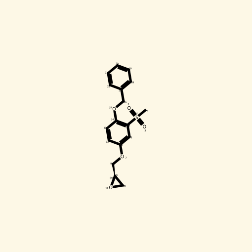 CS(=O)(=O)c1cc(OC[C@H]2CO2)ccc1OCc1ccccc1